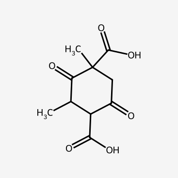 CC1C(=O)C(C)(C(=O)O)CC(=O)C1C(=O)O